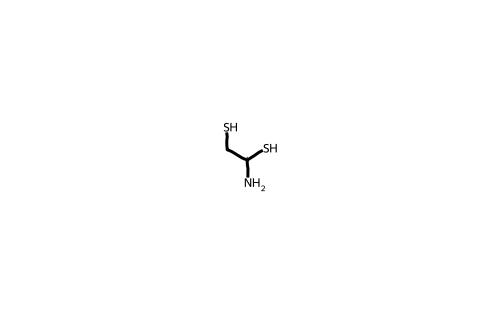 N[C](S)CS